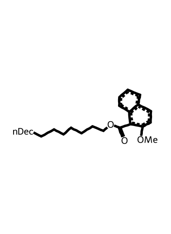 CCCCCCCCCCCCCCCCCOC(=O)c1c(OC)ccc2ccccc12